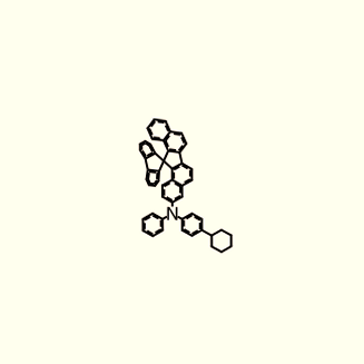 c1ccc(N(c2ccc(C3CCCCC3)cc2)c2ccc3c4c(ccc3c2)-c2ccc3ccccc3c2C42c3ccccc3-c3ccccc32)cc1